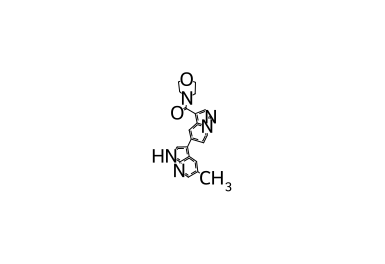 Cc1cnc2[nH]cc(-c3ccn4ncc(C(=O)N5CCOCC5)c4c3)c2c1